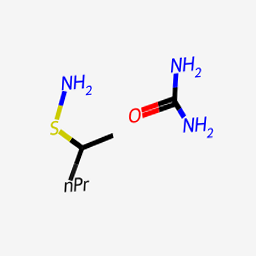 CCCC(C)SN.NC(N)=O